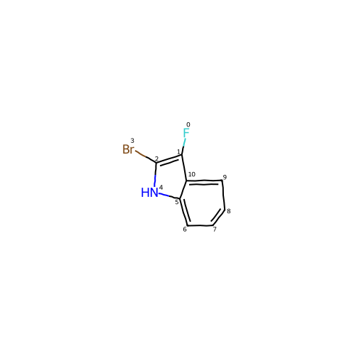 Fc1c(Br)[nH]c2ccccc12